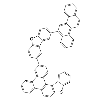 c1ccc2c(c1)ccc1c3ccccc3c(-c3ccc4oc5ccc(-c6ccc7c(c6)c6ccccc6c6ccc8sc9ccccc9c8c67)cc5c4c3)cc21